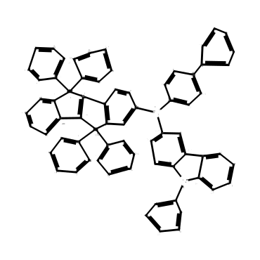 c1ccc(-c2ccc(N(c3ccc4c(c3)C(c3ccccc3)(c3ccccc3)C3=C4C(c4ccccc4)(c4ccccc4)c4ccccc43)c3ccc4c(c3)c3ccccc3n4-c3ccccc3)cc2)cc1